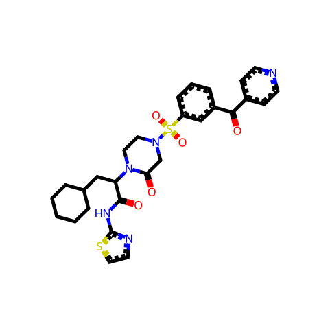 O=C(c1ccncc1)c1cccc(S(=O)(=O)N2CCN(C(CC3CCCCC3)C(=O)Nc3nccs3)C(=O)C2)c1